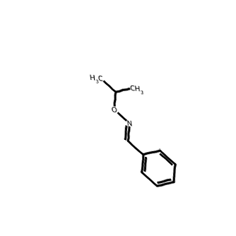 CC(C)ON=Cc1[c]cccc1